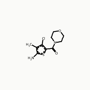 Cc1c(N)sc(C(=O)N2CCOCC2)c1Cl